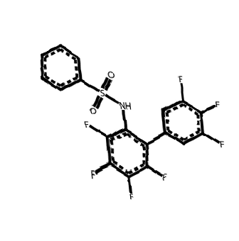 O=S(=O)(Nc1c(F)c(F)c(F)c(F)c1-c1cc(F)c(F)c(F)c1)c1ccccc1